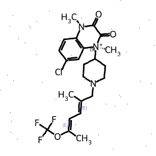 C/C(=C\C=C(/C)OC(F)(F)F)CN1CCC([N@+]2(C)C(=O)C(=O)N(C)c3ccc(Cl)cc32)CC1